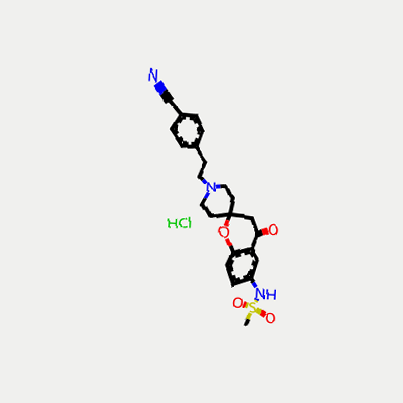 CS(=O)(=O)Nc1ccc2c(c1)C(=O)CC1(CCN(CCc3ccc(C#N)cc3)CC1)O2.Cl